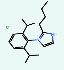 CCCCc1[nH]cc[n+]1-c1c(C(C)C)cccc1C(C)C.[Cl-]